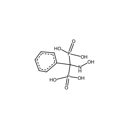 O=P(O)(O)C(NO)(c1ccccc1)P(=O)(O)O